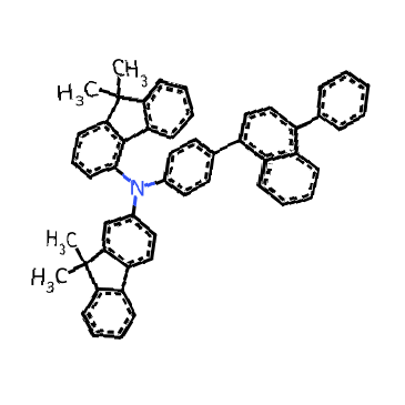 CC1(C)c2ccccc2-c2ccc(N(c3ccc(-c4ccc(-c5ccccc5)c5ccccc45)cc3)c3cccc4c3-c3ccccc3C4(C)C)cc21